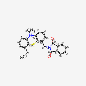 CN1c2cccc(CC#N)c2Sc2c(CN3C(=O)c4ccccc4C3=O)cccc21